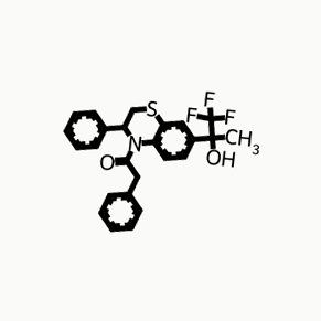 CC(O)(c1ccc2c(c1)SCC(c1ccccc1)N2C(=O)Cc1ccccc1)C(F)(F)F